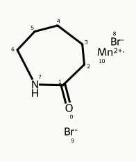 O=C1CCCCCN1.[Br-].[Br-].[Mn+2]